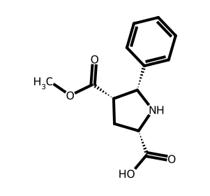 COC(=O)[C@H]1C[C@@H](C(=O)O)N[C@H]1c1ccccc1